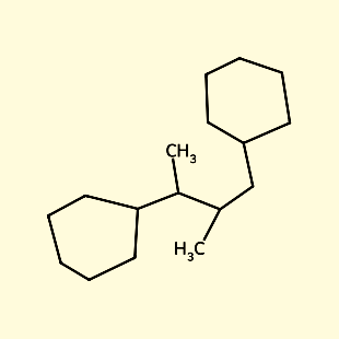 CC(CC1CCCCC1)C(C)C1CCCCC1